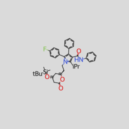 CC(C)c1c(C(=O)Nc2ccccc2)c(-c2ccccc2)c(-c2ccc(F)cc2)n1CC[C@@H]1C[C@@H](O[Si](C)(C)C(C)(C)C)CC(=O)O1